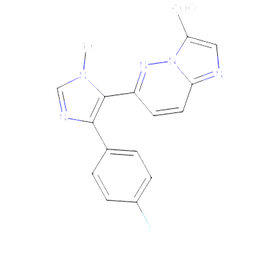 CCn1cnc(-c2ccc(F)cc2)c1-c1ccc2ncc(C=O)n2n1